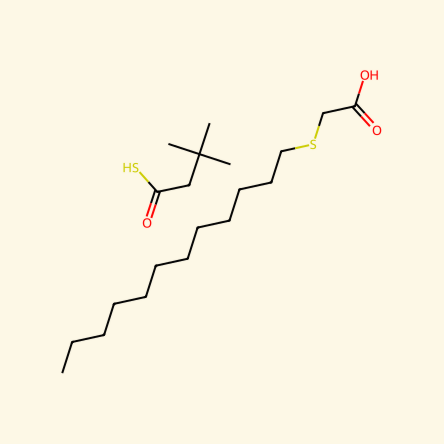 CC(C)(C)CC(=O)S.CCCCCCCCCCCCSCC(=O)O